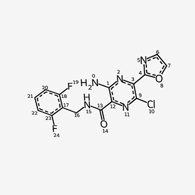 Nc1nc(-c2ncco2)c(Cl)nc1C(=O)NCc1c(F)cccc1F